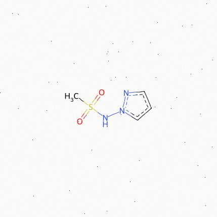 CS(=O)(=O)Nn1cccn1